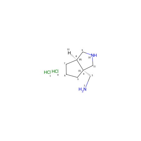 Cl.Cl.NC[C@]12CCC[C@H]1CNC2